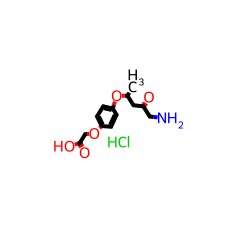 CC(CC(=O)CN)Oc1ccc(OCC(=O)O)cc1.Cl